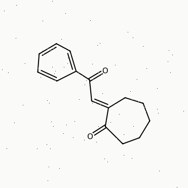 O=C1CCCCCC1=CC(=O)c1ccccc1